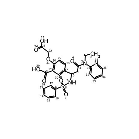 CCN(C(=O)CC(NS(=O)(=O)c1ccccc1)c1ccc(OCC(=O)O)c(C(=O)O)c1)c1ccccn1